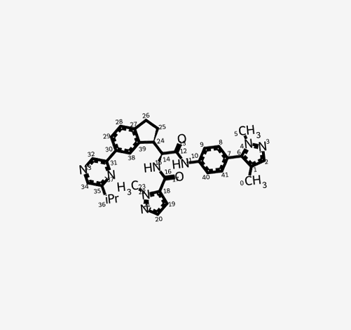 Cc1cnn(C)c1-c1ccc(NC(=O)[C@@H](NC(=O)c2ccnn2C)[C@@H]2CCc3ccc(-c4cncc(C(C)C)n4)cc32)cc1